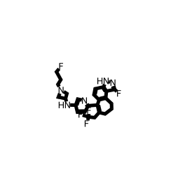 FCCCN1CC(Nc2ccc(C3=C(CC(F)(F)F)CCCc4c3ccc3[nH]nc(F)c43)nc2)C1